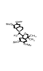 COc1cc2c(cc1OC)CN(C(C)C1OCC(C)(C)c3cc(OC)c(OC)cc31)CC2